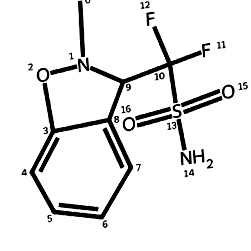 CN1Oc2ccccc2C1C(F)(F)S(N)(=O)=O